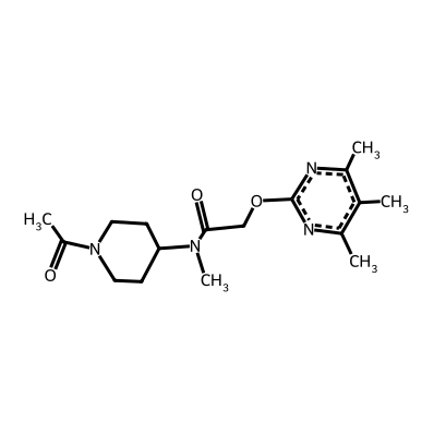 CC(=O)N1CCC(N(C)C(=O)COc2nc(C)c(C)c(C)n2)CC1